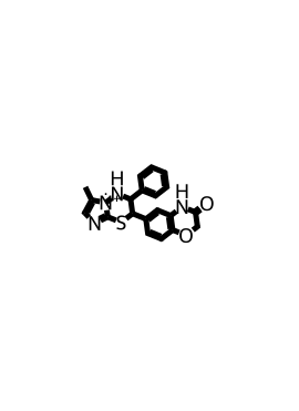 CC1=CN=C2SC(c3ccc4c(c3)NC(=O)CO4)C(c3ccccc3)N[N+]12